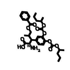 CCCC(C)OC(=O)Oc1ccc(C(C(C)COC(=O)c2ccccc2)[C@H](N)C(=O)O)cc1OC(=O)OC(C)CCC